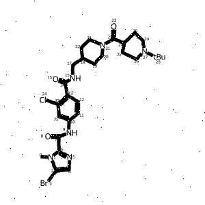 Cn1c(Br)cnc1C(=O)Nc1ccc(C(=O)NCC2CCN(C(=O)C3CCN(C(C)(C)C)CC3)CC2)c(Cl)c1